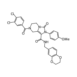 COc1ccc(-n2c(C(=O)NCc3ccc4c(c3)OCCO4)c3n(c2=O)CCN(C(=O)c2ccc(Cl)c(Cl)c2)C3)cc1